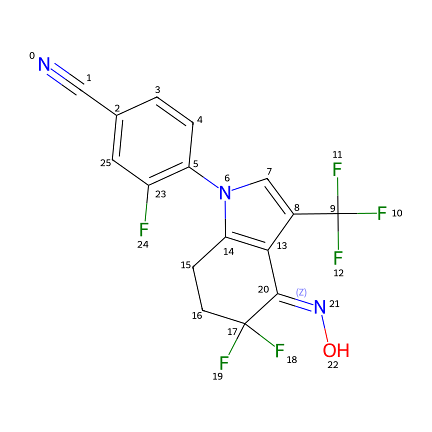 N#Cc1ccc(-n2cc(C(F)(F)F)c3c2CCC(F)(F)/C3=N\O)c(F)c1